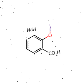 O=C(O)c1ccccc1OI.[NaH]